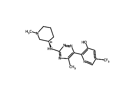 Cc1nc(N[C@@H]2CCCN(C)C2)nnc1-c1ncc(C(F)(F)F)cc1O